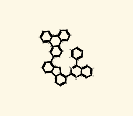 c1ccc(-c2nc(-c3cccc4c3Cc3c(-c5ccc6c7ccccc7c7ccccc7c6c5)cccc3-4)nc3ccccc23)cc1